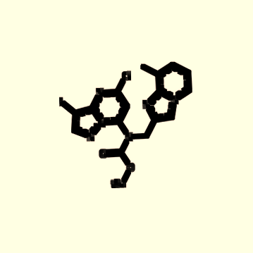 Cc1cccn2cc(CN(C(=O)OC(C)(C)C)c3cc(Cl)nc4c(I)cnn34)nc12